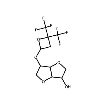 OC1COC2C(OC3CC(C(F)(F)F)(C(F)(F)F)O3)COC12